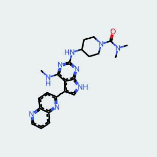 CNc1nc(NC2CCN(C(=O)N(C)C)CC2)nc2[nH]cc(-c3ccc4ncccc4n3)c12